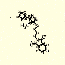 Cn1c(SCCCN2C(=O)c3ccccc3C2=O)nnc1-c1cccs1